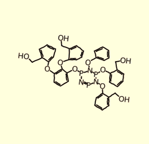 OCc1ccccc1Oc1cccc(Op2npn(Oc3ccccc3CO)p(Oc3ccccc3CO)n2Oc2ccccc2)c1Oc1ccccc1CO